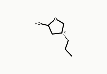 CCC[C@H]1COC(O)C1